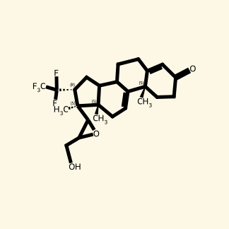 C[C@]12CCC(=O)C=C1CCC1C2=CC[C@@]2(C)C1C[C@@H](C(F)(F)C(F)(F)F)[C@]2(C)C1OC1CO